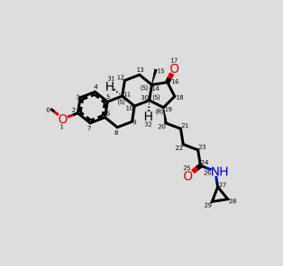 COc1ccc2c(c1)CCC1[C@@H]2CC[C@]2(C)C(=O)C[C@@H](CCCCC(=O)NC3CC3)[C@@H]12